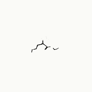 [CH2]CCCC(C)C(=O)OCC